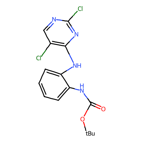 CC(C)(C)OC(=O)Nc1ccccc1Nc1nc(Cl)ncc1Cl